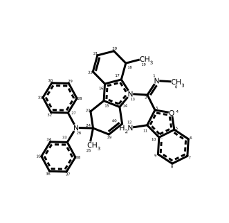 C/N=C(\c1oc2ccccc2c1N)n1c2c(c3c1C(C)CC=C3)CC(C)(N(c1ccccc1)c1ccccc1)C=C2